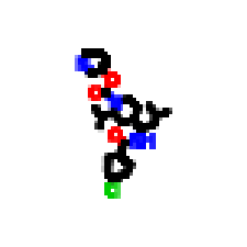 CC(C)CC(NC(=O)c1ccc(Cl)cc1)C1CCN(C(=O)Oc2cccnc2)C(C(C)C)C1